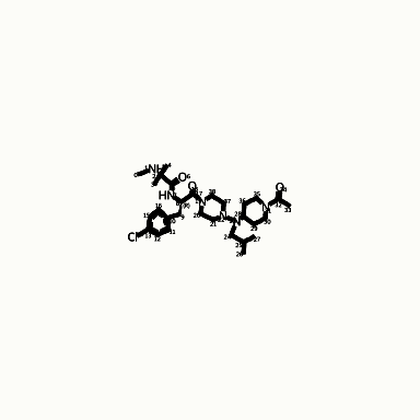 CNC(C)(C)C(=O)N[C@H](Cc1ccc(Cl)cc1)C(=O)N1CCN(N(CC(C)C)C2CCN(C(C)=O)CC2)CC1